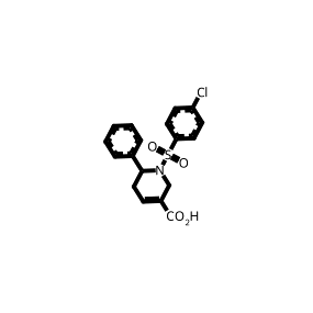 O=C(O)C1=CCC(c2ccccc2)N(S(=O)(=O)c2ccc(Cl)cc2)C1